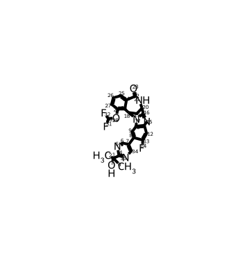 CC(C)(O)c1ncc(-c2cc3c(cc2F)nc2n3C3CC2NC(=O)c2cccc(OC(F)F)c23)cn1